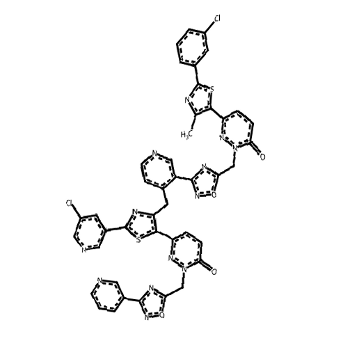 Cc1nc(-c2cccc(Cl)c2)sc1-c1ccc(=O)n(Cc2nc(-c3cnccc3Cc3nc(-c4cncc(Cl)c4)sc3-c3ccc(=O)n(Cc4nc(-c5cccnc5)no4)n3)no2)n1